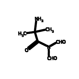 CC(C)(N)C(=O)N(C=O)C=O